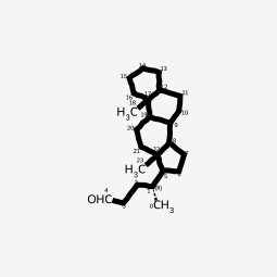 C[C@H](CCC=O)C1CCC2C3CCC4CCCCC4(C)C3CCC21C